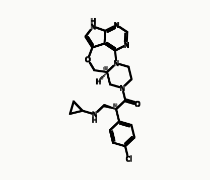 O=C([C@H](CNC1CC1)c1ccc(Cl)cc1)N1CCN2c3ncnc4[nH]cc(c34)OC[C@@H]2C1